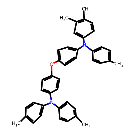 Cc1ccc(N(c2ccc(C)cc2)c2ccc(Oc3ccc(N(c4ccc(C)cc4)c4ccc(C)c(C)c4)cc3)cc2)cc1